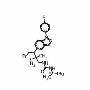 CC(C)CC(c1ccc2c(cnn2-c2ccc(F)cc2)c1)C(C)(C)CNC(=O)N[C@H](C)C(C)(C)C